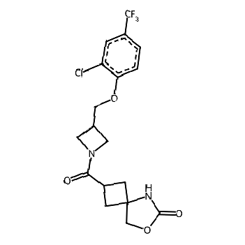 O=C1NC2(CO1)CC(C(=O)N1CC(COc3ccc(C(F)(F)F)cc3Cl)C1)C2